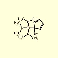 CC(C)[C]1([Ti]([N](C)C)([N](C)C)[N](C)C)C=CC=C1